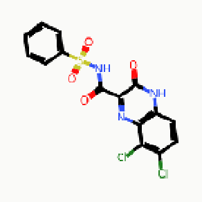 O=C(NS(=O)(=O)c1ccccc1)c1nc2c(Cl)c(Cl)ccc2[nH]c1=O